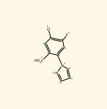 O=C(O)c1cc(Cl)c(F)cc1-n1cccn1